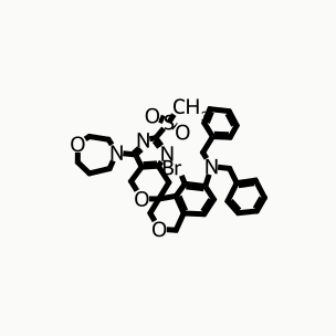 CS(=O)(=O)c1nc2c(c(N3CCCOCC3)n1)COC1(COCc3ccc(N(Cc4ccccc4)Cc4ccccc4)c(Br)c31)C2